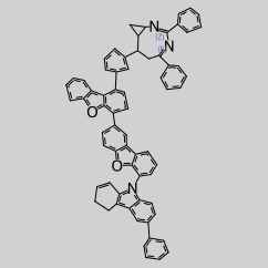 C1=Cc2c(c3cc(-c4ccccc4)ccc3n2-c2cccc3c2oc2ccc(-c4ccc(-c5cccc(C6C/C(c7ccccc7)=N\C(c7ccccc7)=N/C7CC76)c5)c5c4oc4ccccc45)cc23)CC1